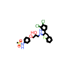 CS(=O)(=O)Nc1ccc(OC[C@@H](O)CNCC(Cc2ccccc2F)c2ccc(Cl)c(Cl)c2)cc1